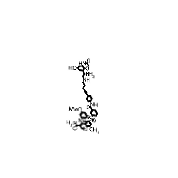 COc1cccc(Nc2c(C(N)=O)cnc3c(C)cc(S(=O)(=O)c4cccc(C(=O)Nc5ccc(C#CCCCNC[C@H](N)c6cc(O)cc7c6OCC(=O)N7)cc5)c4)cc23)c1